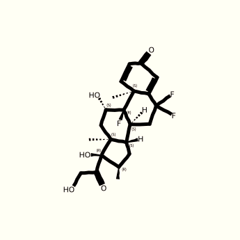 C[C@@H]1C[C@H]2[C@@H]3CC(F)(F)C4=CC(=O)C=C[C@]4(C)[C@@]3(F)[C@@H](O)C[C@]2(C)[C@@]1(O)C(=O)CO